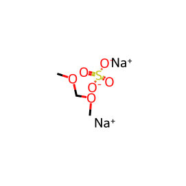 COCOC.O=S(=O)([O-])[O-].[Na+].[Na+]